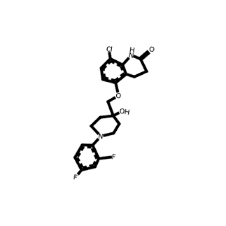 O=C1CCc2c(OCC3(O)CCN(c4ccc(F)cc4F)CC3)ccc(Cl)c2N1